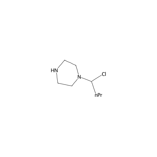 CCCC(Cl)N1CCNCC1